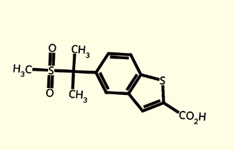 CC(C)(c1ccc2sc(C(=O)O)cc2c1)S(C)(=O)=O